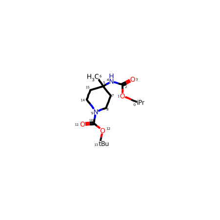 CC(C)OC(=O)NC1(C)CCN(C(=O)OC(C)(C)C)CC1